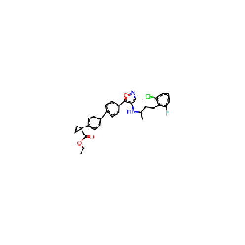 CCOC(=O)C1(c2ccc(-c3ccc(-c4onc(C)c4NC(C)CCc4c(F)cccc4Cl)cc3)cc2)CC1